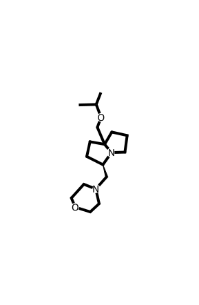 CC(C)OCC12CCCN1[C@@H](CN1CCOCC1)CC2